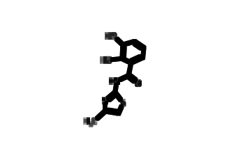 Cc1csc(NC(=O)c2cccc(O)c2O)n1